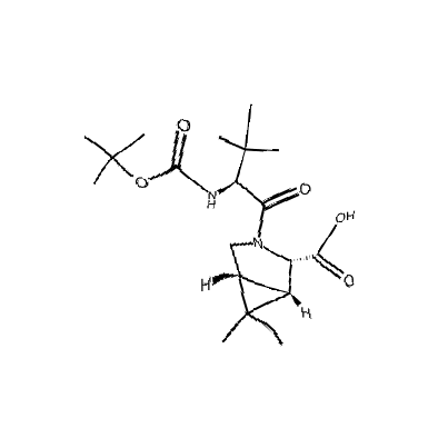 CC(C)(C)OC(=O)N[C@H](C(=O)N1C[C@@H]2[C@H]([C@H]1C(=O)O)C2(C)C)C(C)(C)C